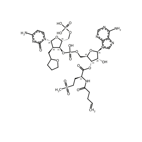 C=CCCC(=O)N[C@@H](CCS(C)(=O)=O)C(=O)O[C@H]1[C@@H](O)[C@H](n2cnc3c(N)ncnc32)O[C@@H]1COP(=O)(O)O[C@H]1[C@@H](CC2CCCO2)[C@H](n2ccc(N)nc2=O)O[C@@H]1COP(=O)(O)O